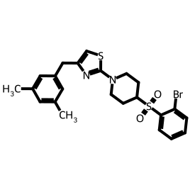 Cc1cc(C)cc(Cc2csc(N3CCC(S(=O)(=O)c4ccccc4Br)CC3)n2)c1